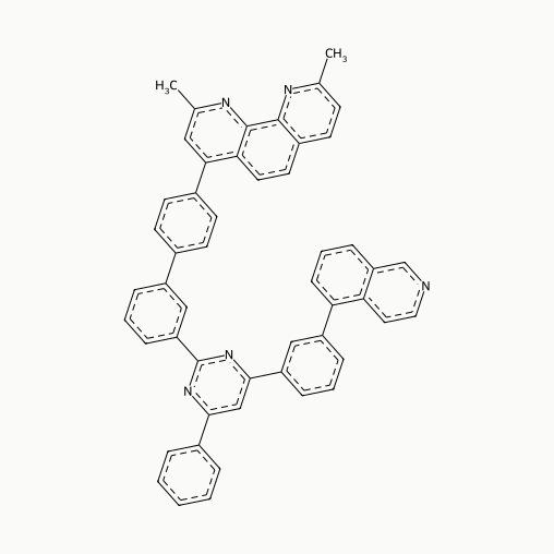 Cc1ccc2ccc3c(-c4ccc(-c5cccc(-c6nc(-c7ccccc7)cc(-c7cccc(-c8cccc9cnccc89)c7)n6)c5)cc4)cc(C)nc3c2n1